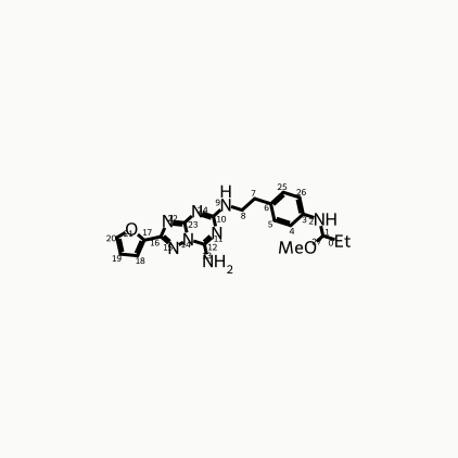 CCC(Nc1ccc(CCNc2nc(N)n3nc(-c4ccco4)nc3n2)cc1)OC